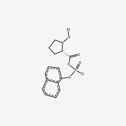 CCON1CCC[C@H]1C(=O)OP(=O)(Cl)Oc1cccc2ccccc12